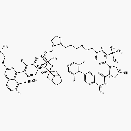 C#Cc1c(F)ccc2cc(OCOC)cc(-c3ncc4c(N5CC6CCC(C5)N6C(=O)OC(C)(C)C)nc(OC[C@@H]5CCCN5CCCOCCC(=O)N[C@H](C(=O)N5C[C@H](O)C[C@H]5C(=O)N[C@@H](C)c5ccc(-c6c(F)cncc6F)cc5)C(C)(C)C)nc4c3F)c12